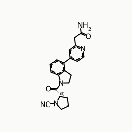 N#CN1CCC[C@H]1C(=O)N1CCc2c(-c3ccnc(CC(N)=O)c3)cccc21